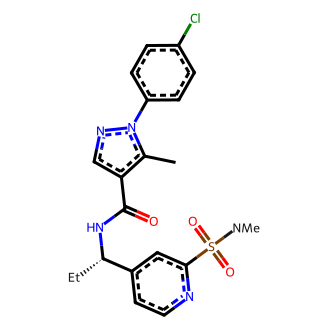 CC[C@H](NC(=O)c1cnn(-c2ccc(Cl)cc2)c1C)c1ccnc(S(=O)(=O)NC)c1